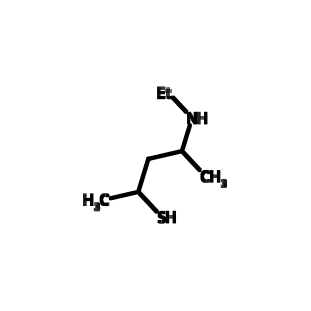 CCNC(C)CC(C)S